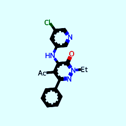 CCn1nc(-c2ccccc2)c(C(C)=O)c(Nc2cncc(Cl)c2)c1=O